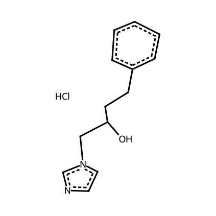 Cl.OC(CCc1ccccc1)Cn1ccnc1